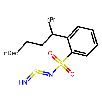 CCCCCCCCCCCCC(CCC)c1ccccc1S(=O)(=O)N=S=N